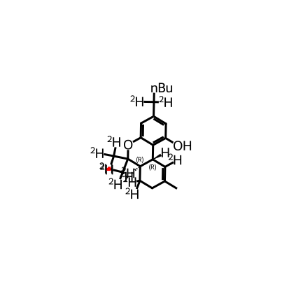 [2H]C1=C(C)CC([2H])([2H])[C@]2([2H])[C@@H]1c1c(O)cc(C([2H])([2H])CCCC)cc1OC2(C([2H])([2H])[2H])C([2H])([2H])[2H]